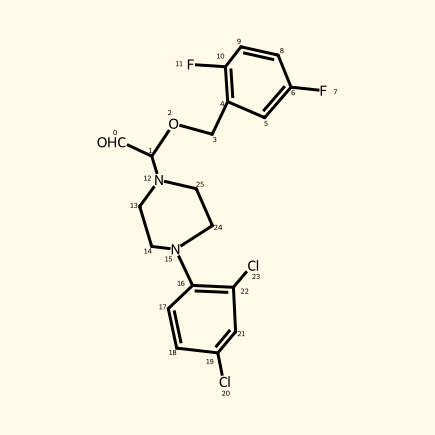 O=CC(OCc1cc(F)ccc1F)N1CCN(c2ccc(Cl)cc2Cl)CC1